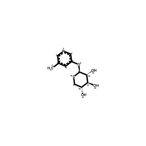 Cc1cncc(O[C@@H]2SC[C@@H](O)[C@H](O)[C@H]2O)c1